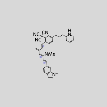 C=C(/C=C(/C=C/c1ccc2ccn(C)c2c1)NC)/C=C/c1ccc(CCCC2=CC=CCN2)cc1C(C#N)(C#N)C#N